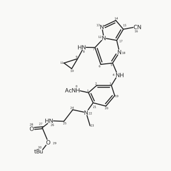 CC(=O)Nc1cc(Nc2cc(NC3CC3)n3ncc(C#N)c3n2)ccc1N(C)CCNC(=O)OC(C)(C)C